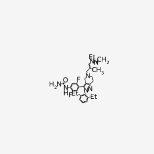 C=NN(/C=C(\C)CN1CCc2nn(-c3c(CC)cccc3CC)c(-c3cc(F)c(NC(N)=O)cc3F)c2C1)CC